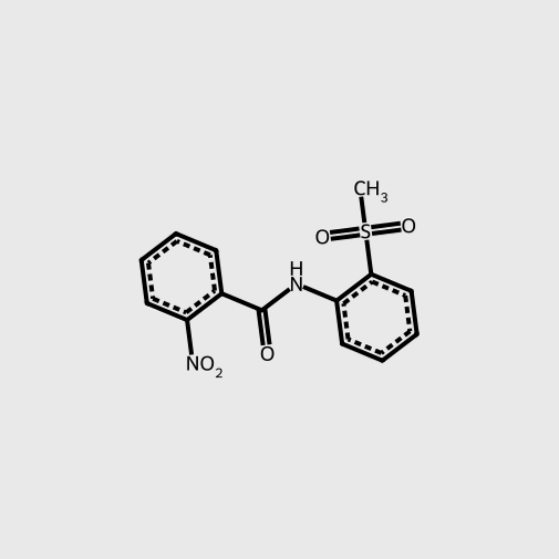 CS(=O)(=O)c1ccccc1NC(=O)c1ccccc1[N+](=O)[O-]